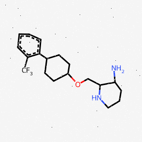 NC1CCCNC1COC1CCC(c2ccccc2C(F)(F)F)CC1